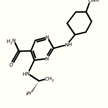 COC1CCC(Nc2ncc(C(N)=O)c(N[C@H](C)C(C)C)n2)CC1